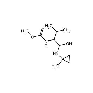 COC(=O)N[C@@H](C(C)C)C(O)NC1(C)CC1